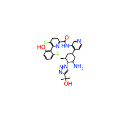 C[C@H]1C[C@@H](c2ccncc2NC(=O)c2ccc(F)c(-c3c(O)cccc3F)n2)C[C@@H](N)[C@H]1n1cc(C(C)(C)O)nn1